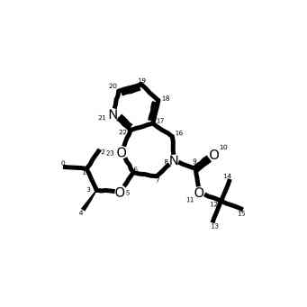 CC(C)[C@H](C)OC1CN(C(=O)OC(C)(C)C)Cc2cccnc2O1